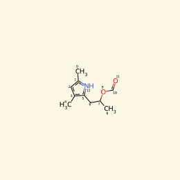 Cc1cc(C)c(CC(C)OC=O)[nH]1